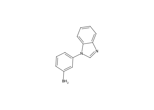 Bc1cccc(-n2cnc3ccccc32)c1